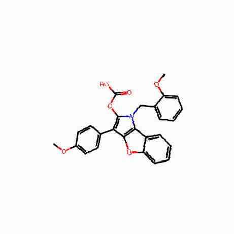 COc1ccc(-c2c(OC(=O)O)n(Cc3ccccc3OC)c3c2oc2ccccc23)cc1